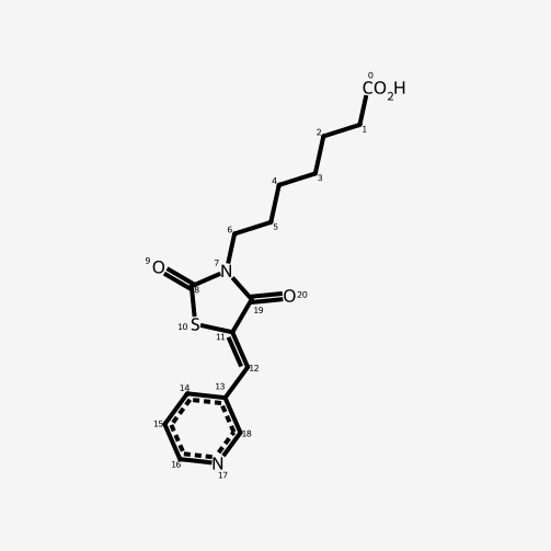 O=C(O)CCCCCCN1C(=O)S/C(=C\c2cccnc2)C1=O